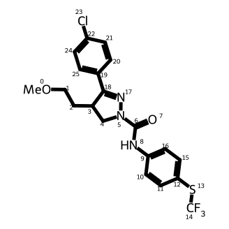 COCCC1CN(C(=O)Nc2ccc(SC(F)(F)F)cc2)N=C1c1ccc(Cl)cc1